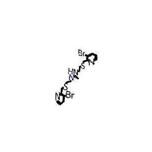 C/C(=N\CCSCc1ncccc1Br)NCCSCc1ncccc1Br